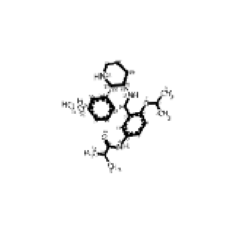 CC(C)Oc1ccc(NC(=O)C(C)C)cc1CN[C@H]1CCCN[C@H]1c1ccccc1.Cl.Cl